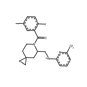 Cc1ccc(I)c(C(=O)N2CCC3(CC3)CC2CNc2cccc(C(F)(F)F)n2)c1